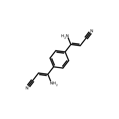 N#C/C=C(\N)c1ccc(/C(N)=C/C#N)cc1